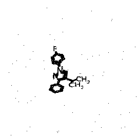 CC(C)c1cn(-c2ccc(F)cc2)nc1-c1ccccc1